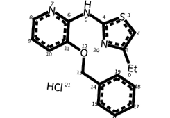 CCc1csc(Nc2ncccc2OCc2ccccc2)n1.Cl